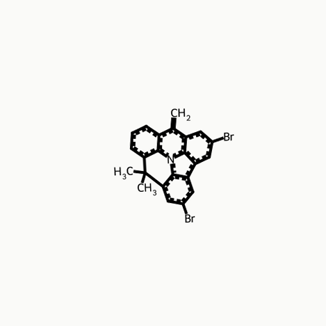 C=c1c2cccc3c2n2c4c(cc(Br)cc4c4cc(Br)cc1c42)C3(C)C